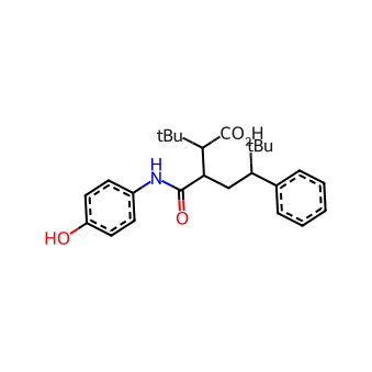 CC(C)(C)C(CC(C(=O)Nc1ccc(O)cc1)C(C(=O)O)C(C)(C)C)c1ccccc1